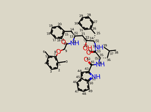 Cc1cccc(C)c1OCC(=O)N[C@@H](Cc1ccccc1)C[C@H](O)[C@H](Cc1ccccc1)NC(=O)[C@H](CC(C)C)NC(=O)c1cc2ccccc2[nH]1